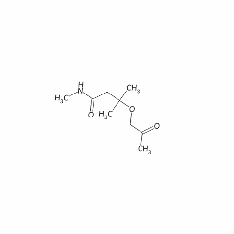 CNC(=O)CC(C)(C)OCC(C)=O